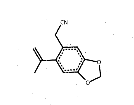 C=C(C)c1cc2c(cc1CC#N)OCO2